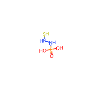 O=P(O)(O)NNS